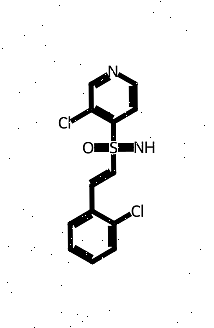 N=S(=O)(/C=C/c1ccccc1Cl)c1ccncc1Cl